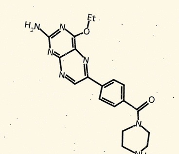 CCOc1nc(N)nc2ncc(-c3ccc(C(=O)N4CCNCC4)cc3)nc12